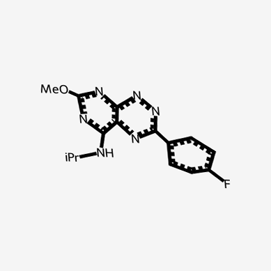 COc1nc(NC(C)C)c2nc(-c3ccc(F)cc3)nnc2n1